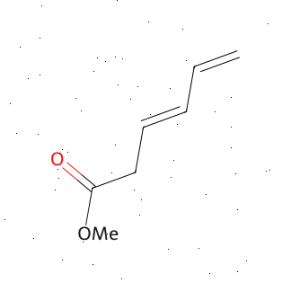 C=C/C=C/CC(=O)OC